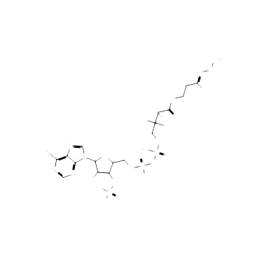 C/C(CCNC(=O)[C@@H](O)C(C)(C)COP(=O)(O)OP(=O)(O)OCC1OC(n2cnc3c(N)ncnc32)C(O)C1OP(=O)(O)O)=N\OC(C)(C)C